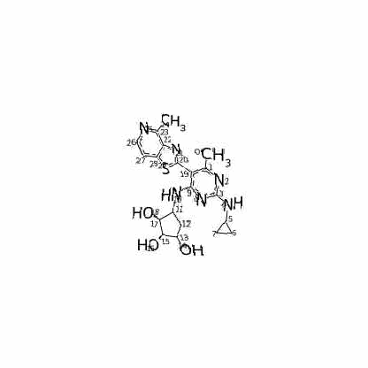 Cc1nc(NC2CC2)nc(NC2CC(O)[C@@H](O)[C@H]2O)c1-c1nc2c(C)nccc2s1